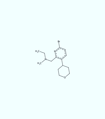 CCN(C)Cc1nc(Br)ccc1C1CCOCC1